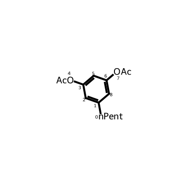 CCCCCc1cc(OC(C)=O)cc(OC(C)=O)c1